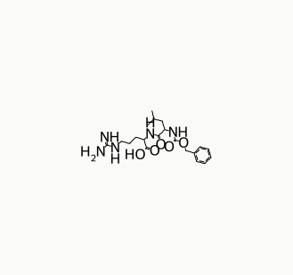 CC(C)CC(NC(=O)OCc1ccccc1)C(=O)NC(CCCNC(=N)N)C(=O)O